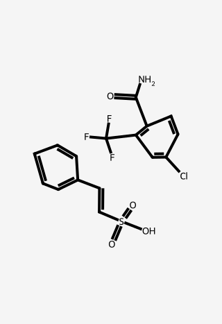 NC(=O)c1ccc(Cl)cc1C(F)(F)F.O=S(=O)(O)C=Cc1ccccc1